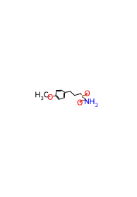 COc1ccc(CCCS(N)(=O)=O)cc1